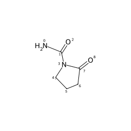 NC(=O)N1[CH]CCC1=O